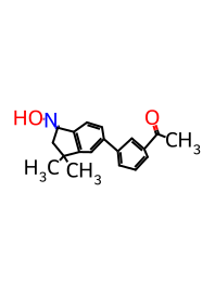 CC(=O)c1cccc(-c2ccc3c(c2)C(C)(C)CC3=NO)c1